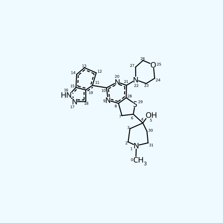 CN1CCC(O)(C2Cc3nc(-c4cccc5[nH]ncc45)nc(N4CCOCC4)c3S2)CC1